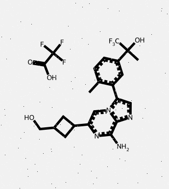 Cc1ccc(C(C)(O)C(F)(F)F)cc1-c1cnc2c(N)nc(C3CC(CO)C3)cn12.O=C(O)C(F)(F)F